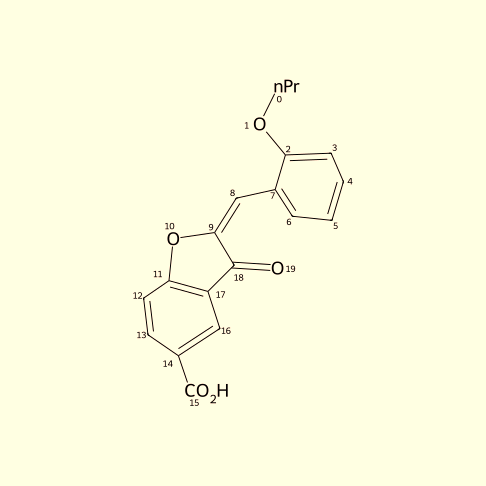 CCCOc1ccccc1C=C1Oc2ccc(C(=O)O)cc2C1=O